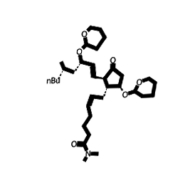 CCCC[C@H](C)C[C@@H](/C=C/[C@H]1C(=O)C[C@H](OC2CCCCO2)[C@@H]1C/C=C\CCCC(=O)N(C)C)OC1CCCCO1